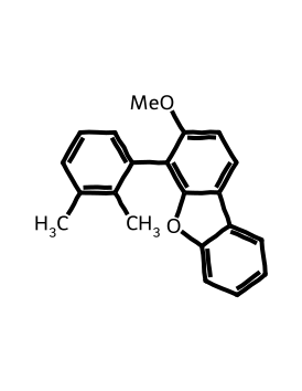 COc1ccc2c(oc3ccccc32)c1-c1cccc(C)c1C